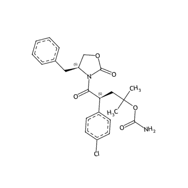 CC(C)(C[C@H](C(=O)N1C(=O)OC[C@@H]1Cc1ccccc1)c1ccc(Cl)cc1)OC(N)=O